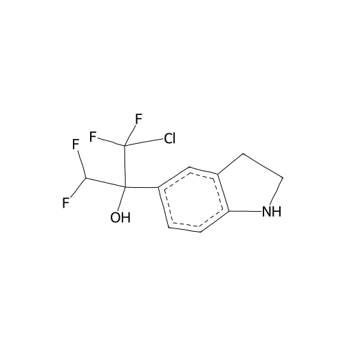 OC(c1ccc2c(c1)CCN2)(C(F)F)C(F)(F)Cl